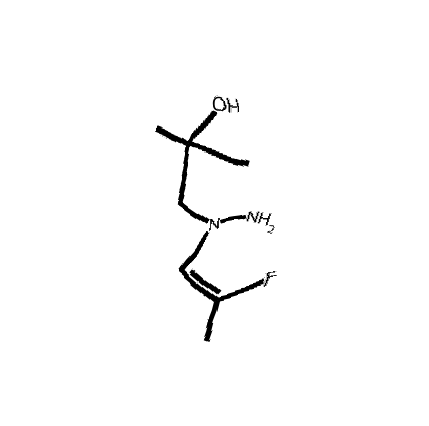 C/C(F)=C/N(N)CC(C)(C)O